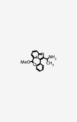 COC(=O)c1cccc2nc(C(C)N)c(-c3ccccc3)n12